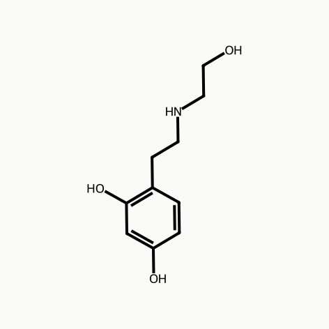 OCCNCCc1ccc(O)cc1O